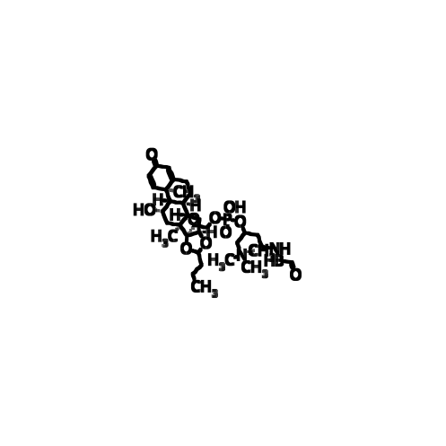 CCCC1O[C@@H]2C[C@H]3[C@@H]4CCC5=CC(=O)C=C[C@]5(C)[C@H]4[C@@H](O)C[C@]3(C)[C@]2(C(=O)COP(=O)(O)OC(CCNBC=O)C[N+](C)(C)C)O1